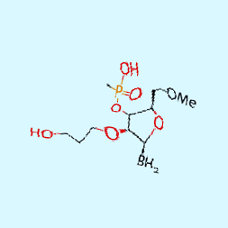 B[C@@H]1O[C@H](COC)C(OP(C)(=O)O)[C@@H]1OCCCO